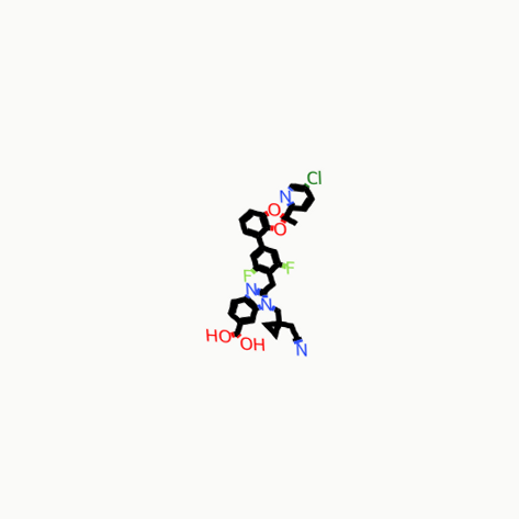 CC1(c2ccc(Cl)cn2)Oc2cccc(-c3cc(F)c(Cc4nc5ccc(C(O)O)cc5n4CC4(CC#N)CC4)c(F)c3)c2O1